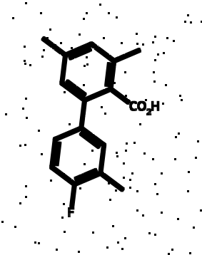 Cc1cc(C)c(C(=O)O)c(-c2ccc(F)c(C)c2)c1